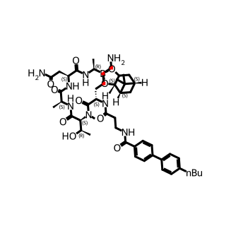 CCCCc1ccc(-c2ccc(C(=O)NCCC(=O)N[C@@H](CCCCN)C(=O)N(C)[C@H](C(=O)N[C@@H](C)C(=O)N[C@@H](CC(N)=O)C(=O)N[C@@H](C)B3OC4C[C@@H]5C[C@@H](C5(C)C)[C@]4(C)O3)[C@@H](C)O)cc2)cc1